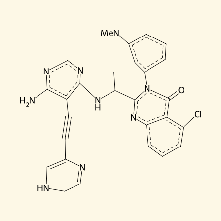 CNc1cccc(-n2c(C(C)Nc3ncnc(N)c3C#CC3=CNCC=N3)nc3cccc(Cl)c3c2=O)c1